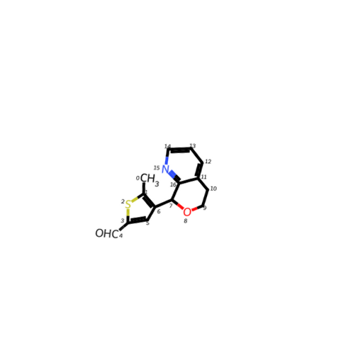 Cc1sc(C=O)cc1C1OCCc2cccnc21